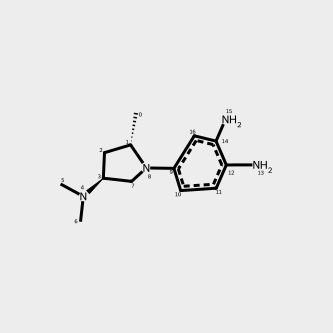 C[C@H]1C[C@H](N(C)C)CN1c1ccc(N)c(N)c1